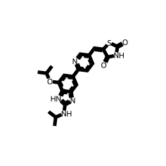 CC(C)Nc1nc2cc(-c3ccc(C=C4SC(=O)NC4=O)cn3)cc(OC(C)C)c2[nH]1